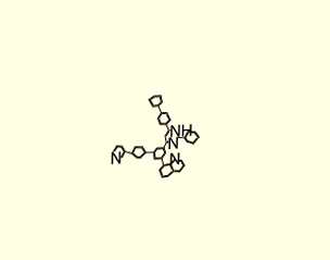 C1=C(c2ccc(-c3ccccc3)cc2)NC(c2ccccc2)N=C1c1cc(-c2ccc(-c3cccnc3)cc2)cc(-c2cccc3cccnc23)c1